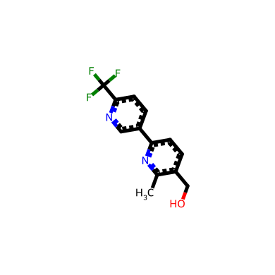 Cc1nc(-c2ccc(C(F)(F)F)nc2)ccc1CO